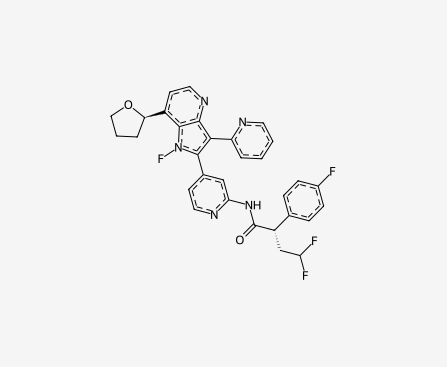 O=C(Nc1cc(-c2c(-c3ccccn3)c3nccc([C@H]4CCCO4)c3n2F)ccn1)[C@@H](CC(F)F)c1ccc(F)cc1